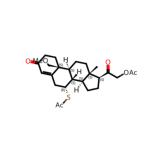 COC[C@]12CCC(=O)C=C1C[C@@H](SC(C)=O)[C@@H]1[C@@H]2CC[C@]2(C)[C@@H](C(=O)COC(C)=O)CC[C@@H]12